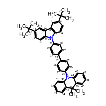 CC(C)(C)c1ccc2c(c1)c1cc(C(C)(C)C)ccc1n2-c1ccc(-c2ccc(N3c4ccccc4C(C)(C)c4ccccc43)cc2)cc1